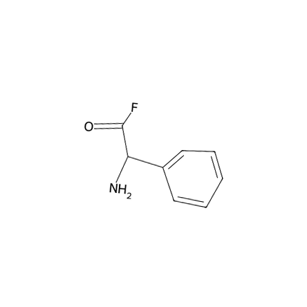 NC(C(=O)F)c1ccccc1